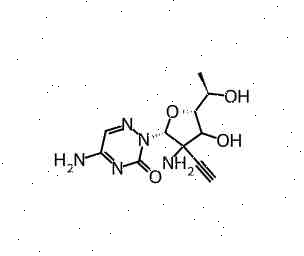 C#CC1(N)C(O)[C@@H]([C@@H](C)O)O[C@H]1n1ncc(N)nc1=O